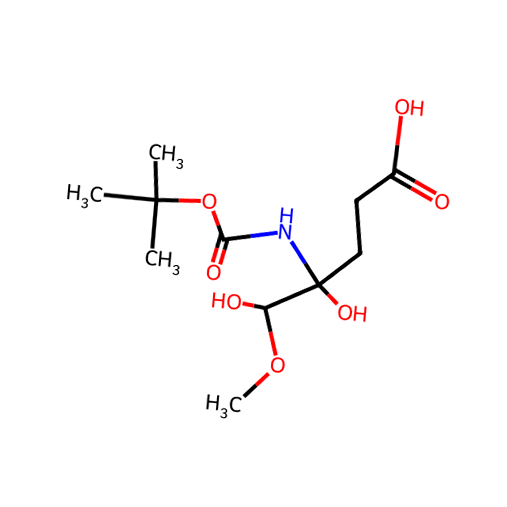 COC(O)C(O)(CCC(=O)O)NC(=O)OC(C)(C)C